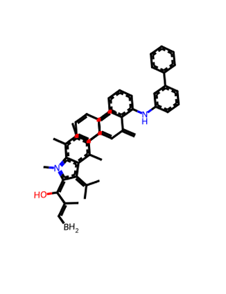 B/C=C(C)/C(O)=c1\c(=C(C)C)c2c(C)c(C(/C=C\C)=C/C(=C)c3c(Nc4cccc(-c5ccccc5)c4)cccc3C3C=CC=CC3)c(C)c(C)c2n1C